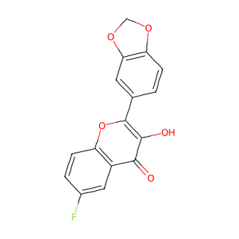 O=c1c(O)c(-c2ccc3c(c2)OCO3)oc2ccc(F)cc12